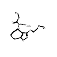 CCOCOc1noc2c1[C@H](N(C)C(=O)OC(C)(C)C)CCC2